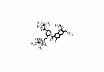 CCc1cc2cc(F)c(C(=O)N3CCN(C(=O)OC(C)(C)C)C[C@@H]3CCO[Si](C)(C)C(C)(C)C)cc2nc1OC